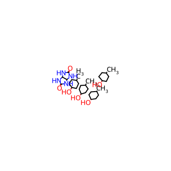 CC1CCC(O)CC1.CC1CCC(O)CC1.CC1CCC(O)CC1.CC1CCC(O)CC1.O=C1NC2NC(=O)NC2N1